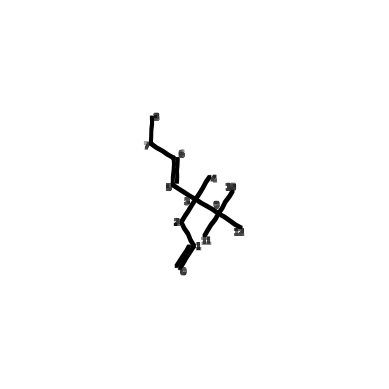 C=CCC(C)(/C=C/CC)C(C)(C)C